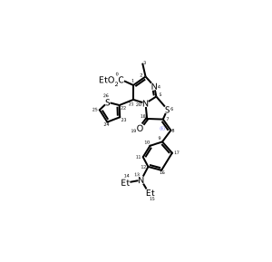 CCOC(=O)C1=C(C)N=c2s/c(=C/c3ccc(N(CC)CC)cc3)c(=O)n2C1c1cccs1